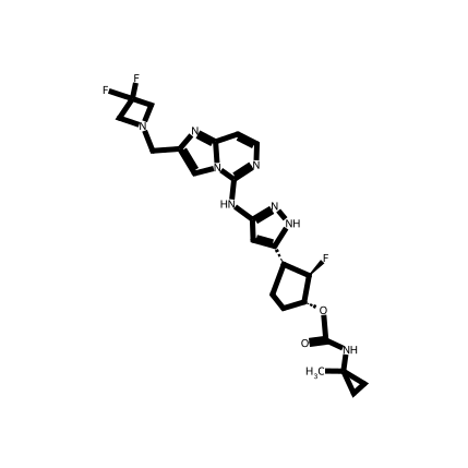 CC1(NC(=O)O[C@@H]2CC[C@H](c3cc(Nc4nccc5nc(CN6CC(F)(F)C6)cn45)n[nH]3)[C@H]2F)CC1